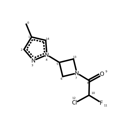 Cc1cnn(C2CN(C(=O)C(F)Cl)C2)c1